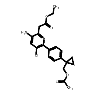 CCOC(=O)Cc1nc(-c2ccc(C3(COC(C)=O)CC3)cc2)c(Cl)cc1N